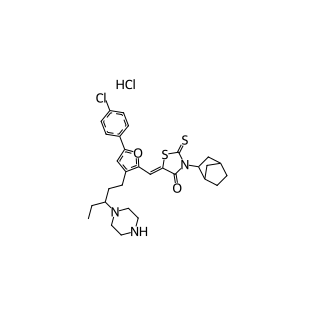 CCC(CCc1cc(-c2ccc(Cl)cc2)oc1/C=C1\SC(=S)N(C2CC3CCC2C3)C1=O)N1CCNCC1.Cl